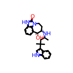 CC(CC(C)(C)c1c[nH]c2ccccc12)N[C@@H]1CCn2c(=O)[nH]c3cccc(c32)[C@H]1O